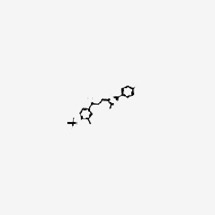 CC(=O)C(C)(C)Oc1ccc(C(=O)CCc2nc(-c3ccc(C(F)(F)F)cc3)sc2C(C)C)cc1C